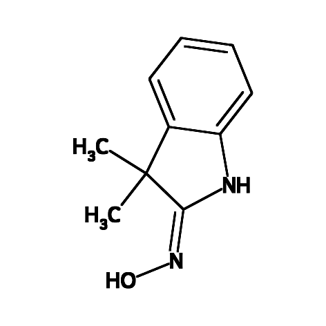 CC1(C)/C(=N\O)Nc2ccccc21